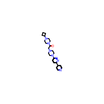 O=C(CN1CCN(c2ccc(-c3ccncc3)nn2)CC1)N1CCN(C2CCC2)CC1